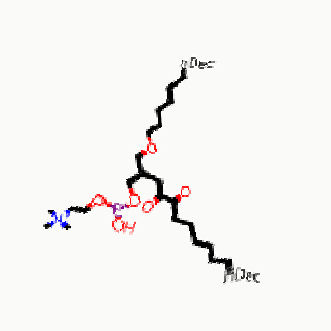 CCCCCCCCCCCCCCCCOCC(COP(O)OCC[N+](C)(C)C)CC(=O)C(=O)CCCCCCCCCCCCCCCC